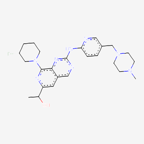 CC(O)c1cc2cnc(Nc3ccc(CN4CCN(C)CC4)cn3)nc2c(N2CCC[C@@H](F)C2)n1